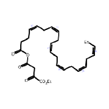 CC/C=C\C/C=C\C/C=C\C/C=C\C/C=C\C/C=C\CCC(=O)OC(=O)CC(=O)C(=O)OCC